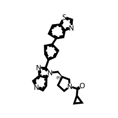 O=C(C1CC1)N1CC[C@@H](Cn2c(-c3ccc(-c4ccc5scnc5c4)cc3)nc3cnccc32)C1